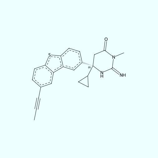 CC#Cc1ccc2sc3ccc([C@]4(C5CC5)CC(=O)N(C)C(=N)N4)cc3c2c1